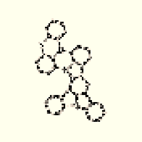 c1ccc2c(c1)Sc1cccc3c1B2c1cccc2c4cc5c6ccccc6n6c7ccccc7c(c4n-3c12)c56